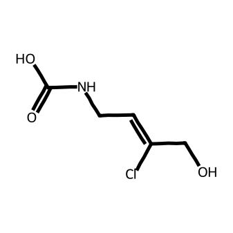 O=C(O)NCC=C(Cl)CO